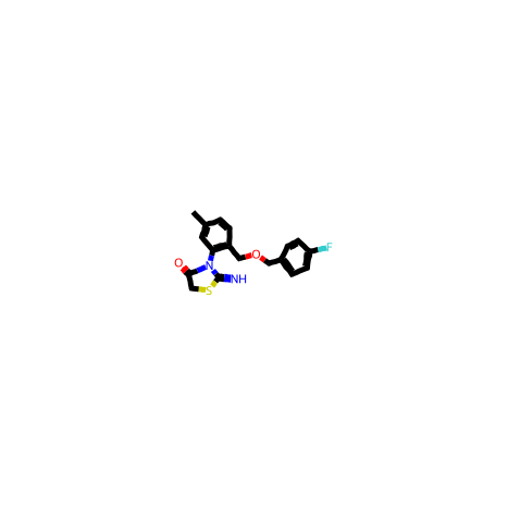 Cc1ccc(COCc2ccc(F)cc2)c(N2C(=N)SCC2=O)c1